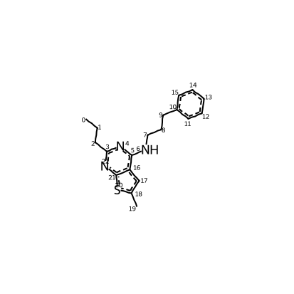 CCCc1nc(NCCCc2ccccc2)c2cc(C)sc2n1